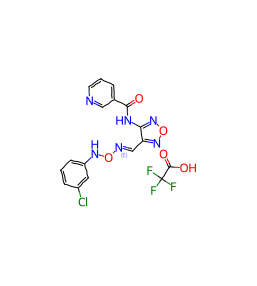 O=C(Nc1nonc1/C=N/ONc1cccc(Cl)c1)c1cccnc1.O=C(O)C(F)(F)F